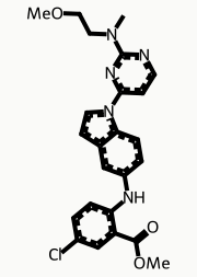 COCCN(C)c1nccc(-n2ccc3cc(Nc4ccc(Cl)cc4C(=O)OC)ccc32)n1